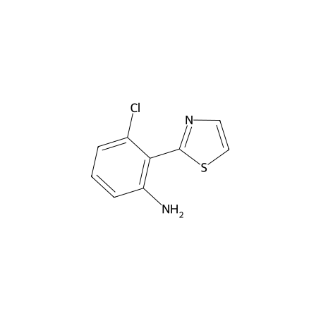 Nc1cccc(Cl)c1-c1nccs1